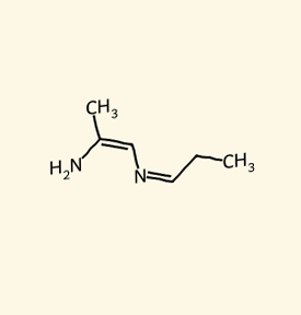 CC/C=N\C=C(\C)N